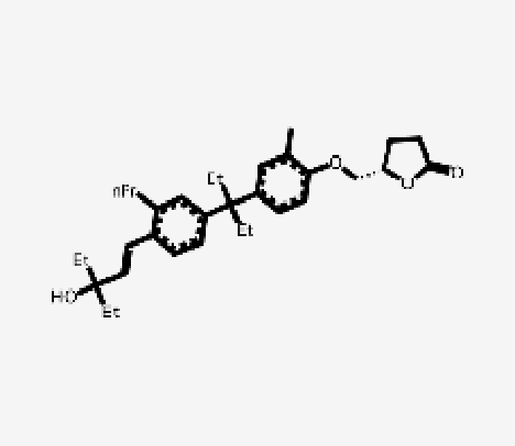 CCCc1cc(C(CC)(CC)c2ccc(OC[C@@H]3CCC(=O)O3)c(C)c2)ccc1/C=C/C(O)(CC)CC